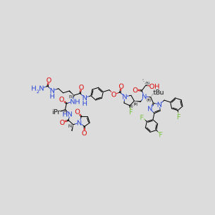 CC(C)[C@H](NC(=O)[C@H](C)N1C(=O)C=CC1=O)C(=O)N[C@@H](CCCNC(N)=O)C(=O)Nc1ccc(COC(=O)N2C[C@@H](CN(C(=O)[C@H](C)O)[C@@H](c3nc(-c4cc(F)ccc4F)cn3Cc3cccc(F)c3)C(C)(C)C)[C@@H](F)C2)cc1